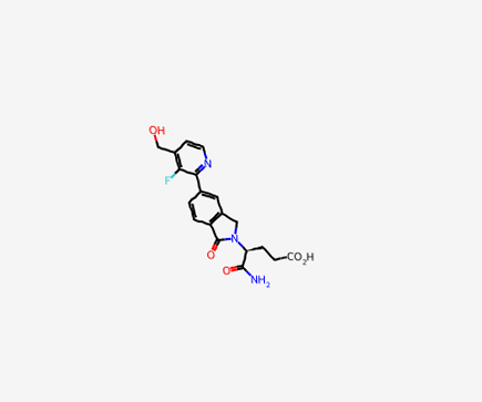 NC(=O)[C@H](CCC(=O)O)N1Cc2cc(-c3nccc(CO)c3F)ccc2C1=O